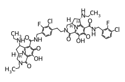 CCNC1C[C@@H]2CN(CC)C(=O)c3c(O)c(=O)c(C(=O)NCc4ccc(CCN5C[C@H]6C[C@H](NCC)c7c(C(=O)NCc8cccc(Cl)c8F)c(=O)c(O)c(n76)C5=O)c(Cl)c4F)c1n32